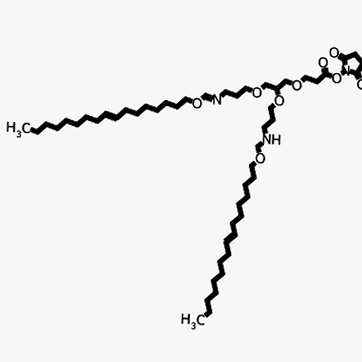 CCCCCCCC/C=C/CCCCCCCO/C=N/CCCOCC(COCCC(=O)ON1C(=O)CCC1=O)OCCCNCOCCCCCCC/C=C/CCCCCCCC